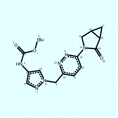 CC(C)(C)OC(=O)Nc1cnn(Cc2ccc(N3CC4CC4C3=O)nn2)c1